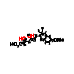 COc1ccc2c(c1)CC(C)(C)C(/C=C/C(O)CC(O)CC(=O)O)=C2